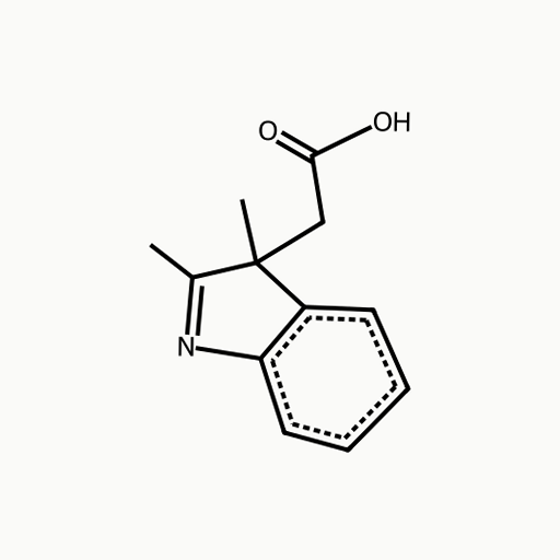 CC1=Nc2ccccc2C1(C)CC(=O)O